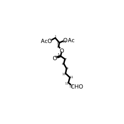 CC(=O)OCC(COC(=O)CCCCCCC=O)OC(C)=O